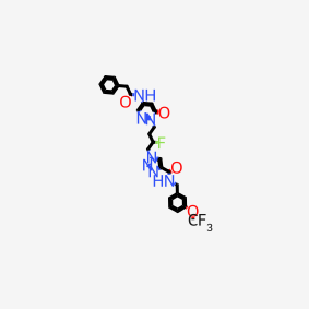 O=C(Cc1ccccc1)Nc1cnn(CCC(F)Cn2cc(C(=O)NCc3cccc(OC(F)(F)F)c3)nn2)c(=O)c1